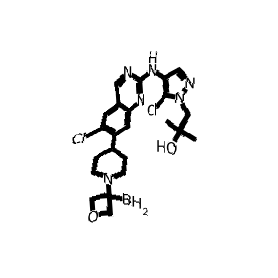 BC1(N2CCC(c3cc4nc(Nc5cnn(CC(C)(C)O)c5Cl)ncc4cc3Cl)CC2)COC1